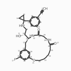 C#Cc1cccc(C2(NC[C@@H](O)[C@@H]3Cc4cc(F)cc(c4)OCCCCC(=O)NCC(=O)N3)CC2)c1